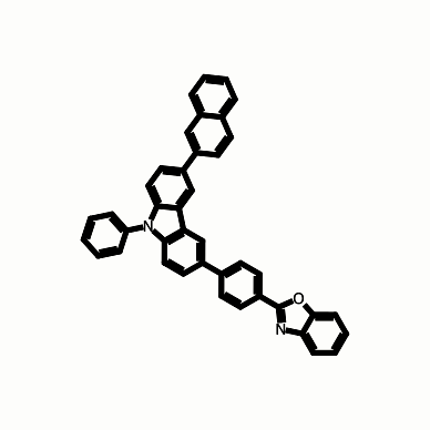 c1ccc(-n2c3ccc(-c4ccc(-c5nc6ccccc6o5)cc4)cc3c3cc(-c4ccc5ccccc5c4)ccc32)cc1